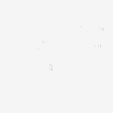 CC(O)(c1ccc(NC(=O)c2ccccc2I)c(O)c1)C(F)(F)F